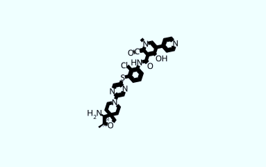 C[C@@H]1OCC2(CCN(c3cnc(Sc4cccc(NC(=O)C5=C(O)C(c6ccncc6)=CN(C)C5=C=O)c4Cl)cn3)CC2)[C@@H]1N